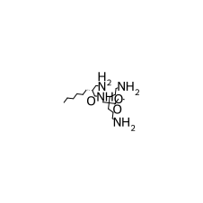 CCCCCC[C@H](CN)C(=O)NCC(CCCN)(CCCN)C(=O)OC